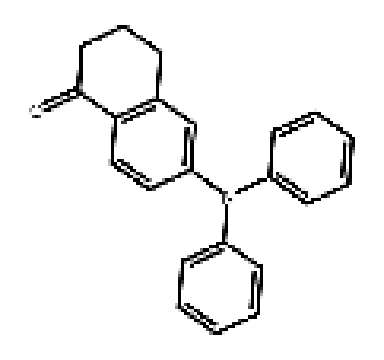 O=C1CCCc2cc(N(c3ccccc3)c3ccccc3)ccc21